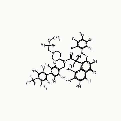 [2H]c1c([2H])c(F)c(F)c(CSc2c([2H])c(=O)c3c([2H])c([2H])c([2H])c([2H])c3n2C([2H])([2H])C(=O)N(Cc2c([2H])c([2H])c(-c3c([2H])c([2H])c(C(F)(F)F)c(C)c3[2H])c([2H])c2[2H])C2CCN(CC([2H])([2H])OC)CC2)c1[2H]